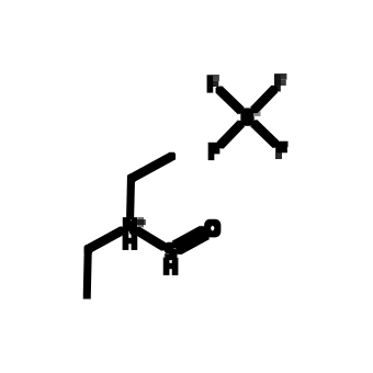 CC[NH+](CC)[SH]=O.F[B-](F)(F)F